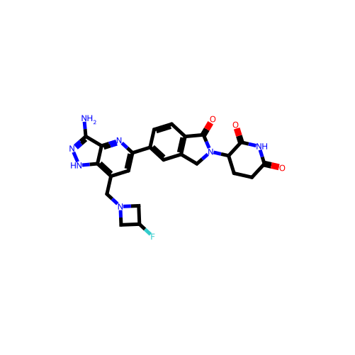 Nc1n[nH]c2c(CN3CC(F)C3)cc(-c3ccc4c(c3)CN(C3CCC(=O)NC3=O)C4=O)nc12